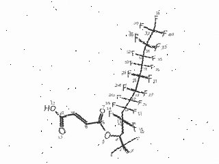 CC(C)(C)C(OC(=O)C=CC(=O)O)C(F)(F)C(F)(F)C(F)(F)C(F)(F)C(F)(F)C(F)(F)C(F)(F)C(F)(F)C(F)(F)F